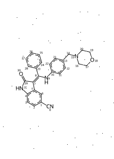 N#Cc1ccc2c(c1)C(=C(Nc1ccc(CN3CCOCC3)cc1)c1ccccc1)C(=O)N2